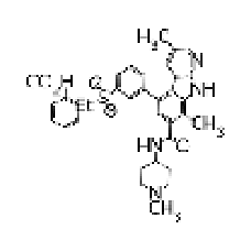 CCS(=O)(=O)c1cccc(-c2cc(C(=O)NC3CCN(C)CC3)c(C)c3[nH]c4ncc(C)cc4c23)c1.O=C(O)c1ccccc1